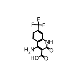 Nc1c(C(=O)O)c(=O)[nH]c2cc(C(F)(F)F)ccc12